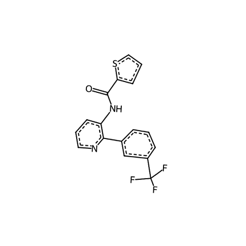 O=C(Nc1cccnc1-c1cccc(C(F)(F)F)c1)c1cccs1